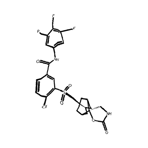 O=C1NC[C@]2(O1)C1CCC2C[C@H](S(=O)(=O)c2cc(C(=O)Nc3cc(F)c(F)c(F)c3)ccc2Cl)C1